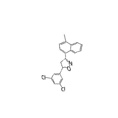 Cc1ccc(C2=NOC(c3cc(Cl)cc(Cl)c3)C2)c2ccccc12